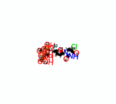 O=c1[nH]c(=O)n([C@H]2CC[C@@](F)(COP(=O)(O)OP(=O)(O)OP(=O)(O)O)O2)cc1Cl